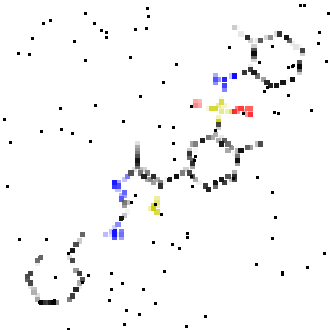 Cc1ccc(-c2sc(NCC3CCCCC3)nc2C)cc1S(=O)(=O)NC1CCCCC1C